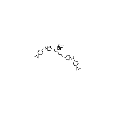 CN(C)c1ccc(C[n+]2ccc(C=CC=CC=Cc3cc[n+](Cc4ccc(N(C)C)cc4)cc3)cc2)cc1.[Br-].[Br-]